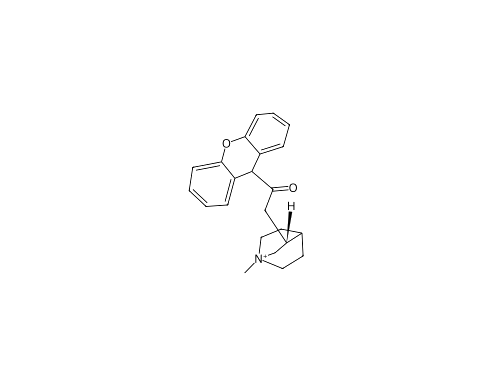 C[N+]12CCC(CC1)[C@@H](CC(=O)C1c3ccccc3Oc3ccccc31)C2